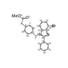 COC(=O)Cc1ccc(Cn2c(-c3ccccc3)nc3c(Br)cccc32)cc1